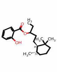 CCC(CC[C@@H]1[C@@H](C)CCCC1(C)C)OC(=O)c1ccccc1O